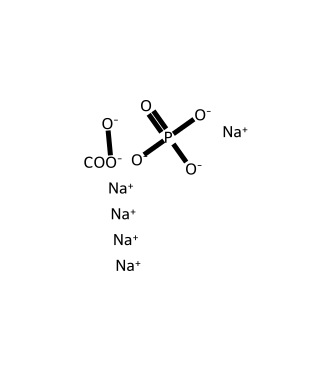 O=C([O-])[O-].O=P([O-])([O-])[O-].[Na+].[Na+].[Na+].[Na+].[Na+]